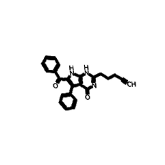 C#CCCCc1nc(=O)c2c(-c3ccccc3)c(C(=O)c3ccccc3)[nH]c2[nH]1